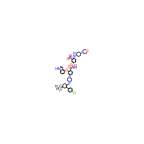 CC1(C)CCC(CN2CCN(c3ccc(C(=O)NS(=O)(=O)c4ccc(N[C@H]5CC[C@H](N6CCOCC6)CC5)c([N+](=O)[O-])c4)c(Oc4cccc5[nH]ccc45)c3)CC2)=C(c2ccc(Cl)cc2)C1